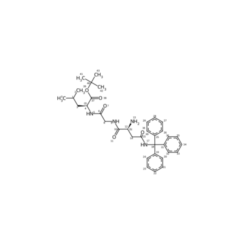 CC(C)C[C@H](NC(=O)CNC(=O)[C@@H](N)CC(=O)NC(c1ccccc1)(c1ccccc1)c1ccccc1)C(=O)OC(C)(C)C